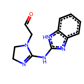 O=CCN1CCN=C1Nc1nc2ccccc2[nH]1